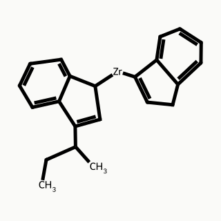 CCC(C)C1=C[CH]([Zr][C]2=CCc3ccccc32)c2ccccc21